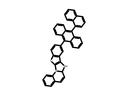 C1=CC2Nc3c(sc4ccc(-c5c6ccccc6c(-c6cccc7ccccc67)c6ccccc56)cc34)N2c2ccccc21